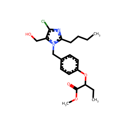 CCCCc1nc(Cl)c(CO)n1Cc1ccc(OC(CC)C(=O)OC)cc1